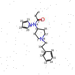 CCC(=O)N(C1CCN(CCc2ccccc2)CC1)n1cccc1